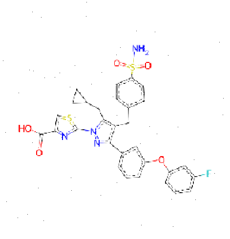 NS(=O)(=O)c1ccc(Cc2c(-c3cccc(Oc4cccc(F)c4)c3)nn(-c3nc(C(=O)O)cs3)c2CC2CC2)cc1